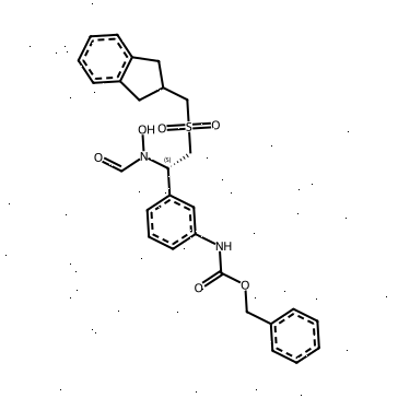 O=CN(O)[C@H](CS(=O)(=O)CC1Cc2ccccc2C1)c1cccc(NC(=O)OCc2ccccc2)c1